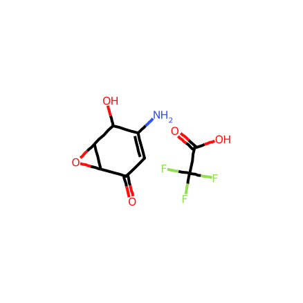 NC1=CC(=O)C2OC2C1O.O=C(O)C(F)(F)F